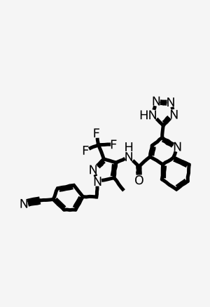 Cc1c(NC(=O)c2cc(-c3nnn[nH]3)nc3ccccc23)c(C(F)(F)F)nn1Cc1ccc(C#N)cc1